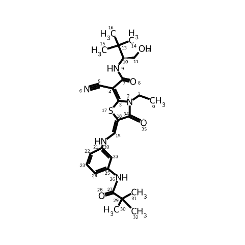 CCn1c(=C(C#N)C(=O)N[C@H](CO)C(C)(C)C)sc(=CNc2cccc(NC(=O)C(C)(C)C)c2)c1=O